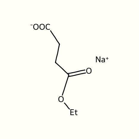 CCOC(=O)CCC(=O)[O-].[Na+]